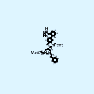 CCCCCc1nc2c(n1Cc1ccc(-c3ccccc3-c3nnn[nH]3)cc1)CN(CCOC)CN2CCc1ccccc1